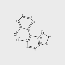 Clc1ccccc1-c1c(Cl)ccc2c1O[CH]C2